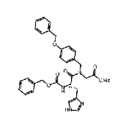 COC(=O)CN(Cc1ccc(OCc2ccccc2)cc1)C(=O)[C@H](Cc1c[nH]cn1)NC(=O)OCc1ccccc1